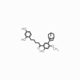 COc1cc(O)c(C(=O)CCCCc2ccc(O)cc2O)cc1C12CC3CC(CC1C3)C2